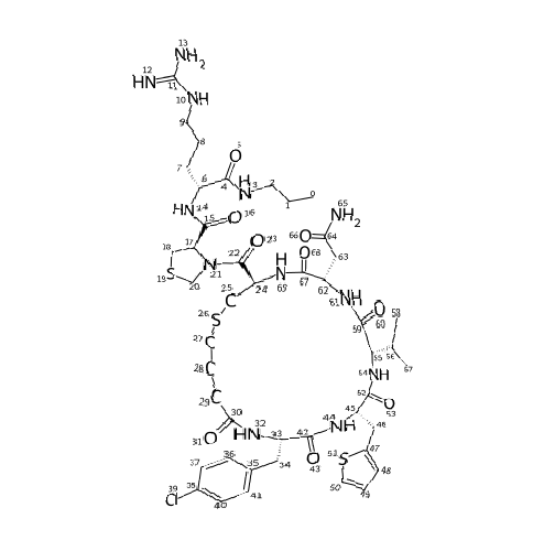 CCCNC(=O)[C@@H](CCCNC(=N)N)NC(=O)[C@@H]1CSCN1C(=O)[C@@H]1CSCCCC(=O)N[C@@H](Cc2ccc(Cl)cc2)C(=O)N[C@@H](Cc2cccs2)C(=O)N[C@@H](C(C)C)C(=O)N[C@@H](CC(N)=O)C(=O)N1